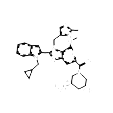 COc1cc(C(=O)N2C[C@H](N)C[C@@H](F)C2)cc2nc(-c3cc4ccccc4n3CC3CC3)n(Cc3csc(C)n3)c12